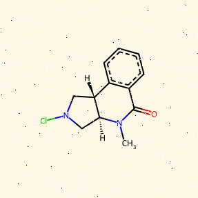 CN1C(=O)c2ccccc2[C@H]2CN(Cl)C[C@@H]21